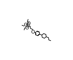 CCCC1CCC(c2ccc(OCCC[Si](OCC)(OCC)OCC)cc2)CC1